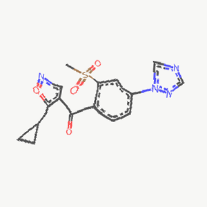 CS(=O)(=O)c1cc(-n2cncn2)ccc1C(=O)c1cnoc1C1CC1